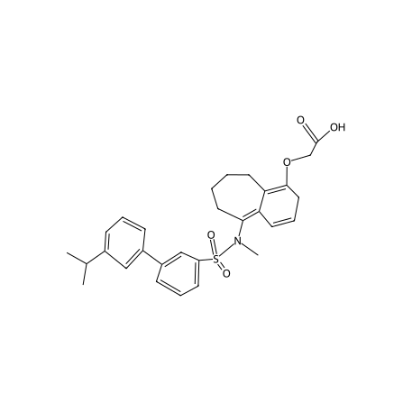 CC(C)c1cccc(-c2cccc(S(=O)(=O)N(C)C3=C4C=CCC(OCC(=O)O)=C4CCCC3)c2)c1